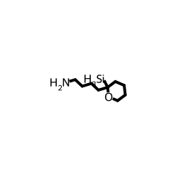 NCCCCC1([SiH3])CCCCO1